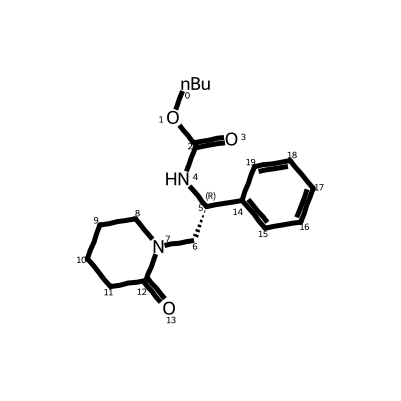 CCCCOC(=O)N[C@@H](CN1CCCCC1=O)c1ccccc1